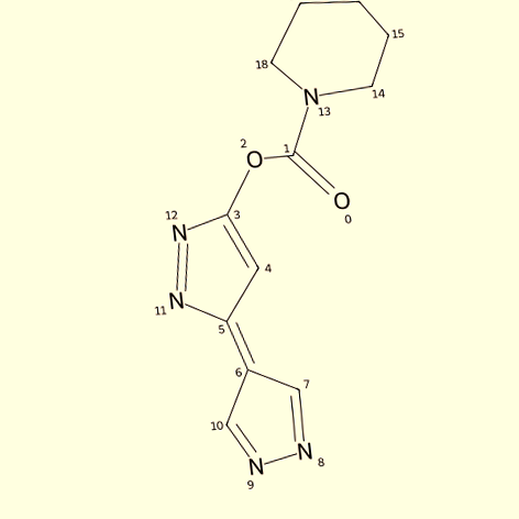 O=C(OC1=CC(=C2C=NN=C2)N=N1)N1CCCCC1